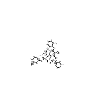 Cc1cccc(F)c1Cn1c2c(c(=O)n(C[C@H](N)c3ccccc3)c1=O)C1(CCN(Cc3cccc(F)c3)CC1)OC2